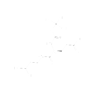 CC(C)CCNC(=O)[C@H](CCC(=O)O)NC(=O)OC(C)(C)C